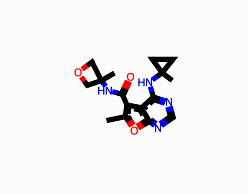 Cc1oc2ncnc(NC3(C)CC3)c2c1C(=O)NC1(C)COC1